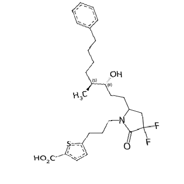 C[C@@H](CCCCc1ccccc1)[C@H](O)CCC1CC(F)(F)C(=O)N1CCCc1ccc(C(=O)O)s1